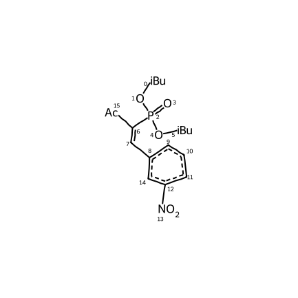 CCC(C)OP(=O)(OC(C)CC)C(=Cc1cccc([N+](=O)[O-])c1)C(C)=O